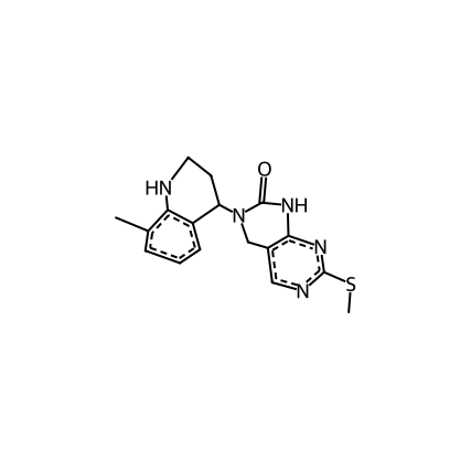 CSc1ncc2c(n1)NC(=O)N(C1CCNc3c(C)cccc31)C2